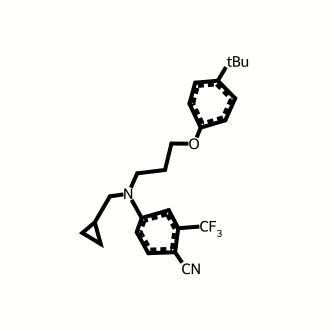 CC(C)(C)c1ccc(OCCCN(CC2CC2)c2ccc(C#N)c(C(F)(F)F)c2)cc1